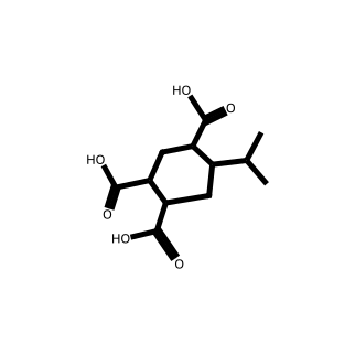 CC(C)C1CC(C(=O)O)C(C(=O)O)CC1C(=O)O